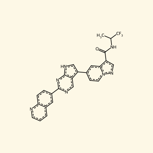 CC(NC(=O)c1cnn2ccc(-c3c[nH]c4nc(-c5ccc6ncccc6c5)ncc34)cc12)C(F)(F)F